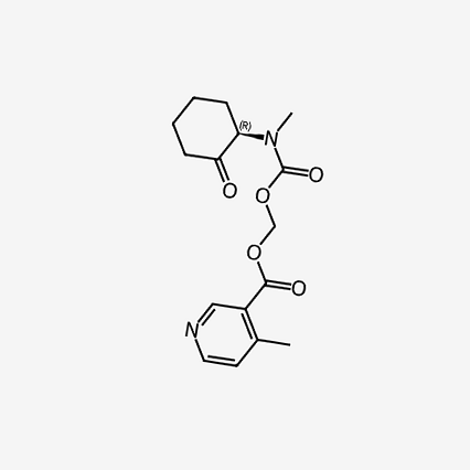 Cc1ccncc1C(=O)OCOC(=O)N(C)[C@@H]1CCCCC1=O